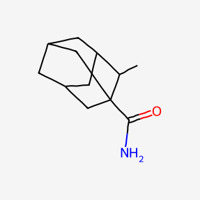 CC1C2CC3CC(C2)CC1(C(N)=O)C3